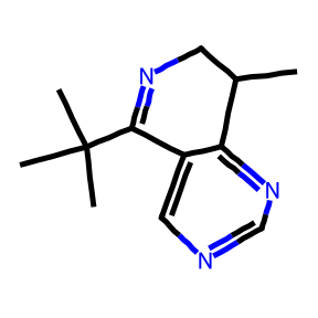 CC1CN=C(C(C)(C)C)c2cncnc21